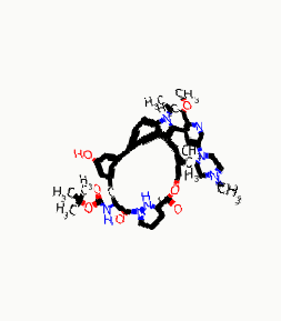 CCn1c(-c2cc(N3CCN(C)CC3)cnc2[C@H](C)OC)c2c3cc(ccc31)-c1cc(O)cc(c1)C[C@H](NC(=O)OC(C)(C)C)C(=O)N1CCC[C@H](N1)C(=O)OCC(C)(C)C2